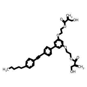 C=C(CO)C(=O)OCCOc1cc(OCCOC(=O)C(=C)CO)cc(-c2ccc(C#Cc3ccc(CCCCC)cc3)cc2)c1